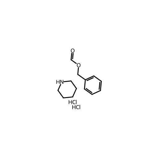 C1CCNCC1.Cl.Cl.O=COCc1ccccc1